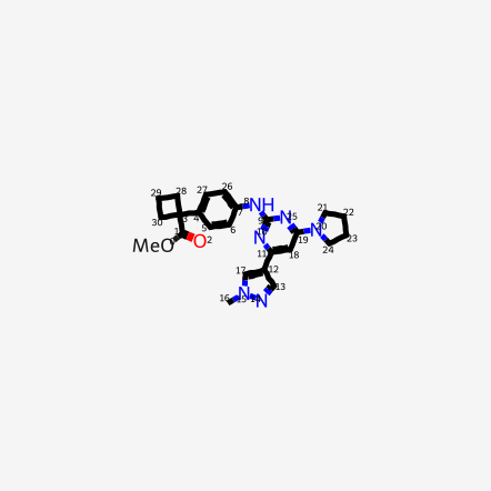 COC(=O)C1(c2ccc(Nc3nc(-c4cnn(C)c4)cc(N4CCCC4)n3)cc2)CCC1